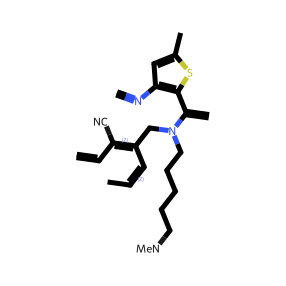 C=C/C(C#N)=C(\C=C/C)CN(CCCCCNC)C(=C)c1sc(C)cc1N=C